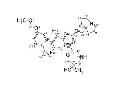 COCOc1cc(Cl)c(C2CC2)c(-c2c(F)cc3c(C4CNCC(C)(O)CO4)nc(OCC45CCCN4CCC5)nc3c2F)c1